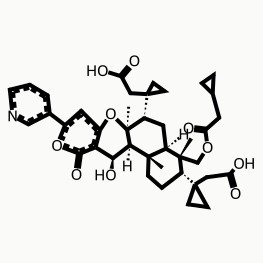 C[C@]12CC[C@@H](C3(CC(=O)O)CC3)[C@@](C)(COC(=O)CC3CC3)[C@@H]1C[C@@H](C1(CC(=O)O)CC1)[C@]1(C)Oc3cc(-c4cccnc4)oc(=O)c3[C@H](O)[C@H]21